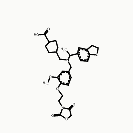 COc1cc(CN(CC2CCC(C(=O)O)CC2)C(C)c2ccc3c(c2)CCO3)ccc1OCCN1C(=O)COC1=O